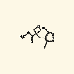 COC(=O)C1(Cc2c(F)cccc2Br)COC1